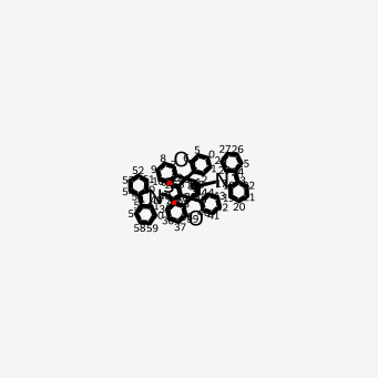 c1ccc2c(c1)Oc1ccccc1C21c2cc(-n3c4ccccc4c4ccccc43)sc2C2(c3ccccc3Oc3ccccc32)c2cc(-n3c4ccccc4c4ccccc43)sc21